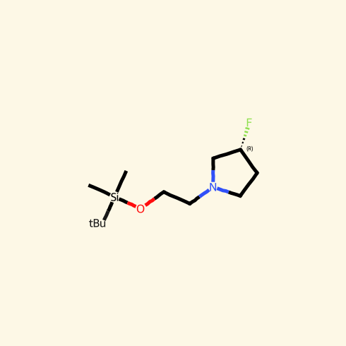 CC(C)(C)[Si](C)(C)OCCN1CC[C@@H](F)C1